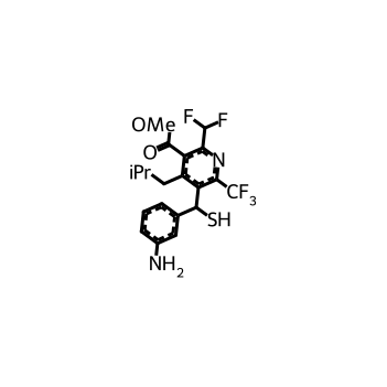 COC(=O)c1c(C(F)F)nc(C(F)(F)F)c(C(S)c2cccc(N)c2)c1CC(C)C